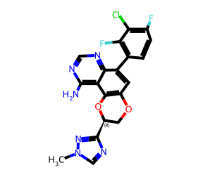 Cn1cnc([C@@H]2COc3cc(-c4ccc(F)c(Cl)c4F)c4ncnc(N)c4c3O2)n1